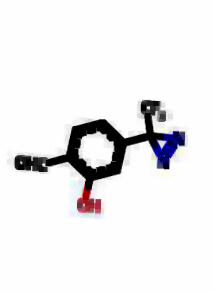 O=Cc1ccc(C2(C(F)(F)F)N=N2)cc1O